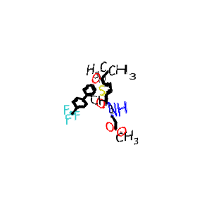 COC(=O)CCNC(=O)c1ccc([C@@H](Oc2ccc(-c3ccc(C(F)(F)F)cc3)c(C)c2)C(C)C)s1